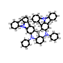 c1ccc(N2c3cc4c(cc3B3c5c2cccc5N(c2ccccc2)c2cc5c6ccccc6n6c7ccccc7c(c23)c56)c2cccc3c5ccccc5n4c32)cc1